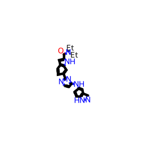 CCN(CC)C(=O)c1cc2ccc(-c3nccc(Nc4ccc5[nH]ncc5c4)n3)cc2[nH]1